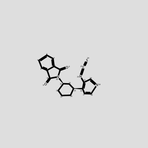 O=C1c2ccccc2C(=O)N1[C@@H]1CCC[C@H](c2ccncc2N=C=S)C1